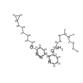 CCCCC(C)C(C)CCC[SiH2]Oc1cccnc1-c1ccc(OCCCCCCC2CC2)nn1